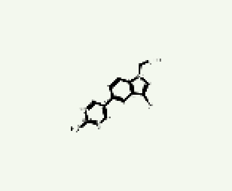 CC(=O)c1cn(CC=O)c2ccc(-c3cnc(C)nc3)cc12